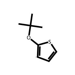 CC(C)(C)Oc1[c]ccs1